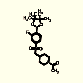 CC(=O)N1CCC(CS(=O)(=O)c2ccc(B3OC(C)(C)C(C)(C)O3)c(F)c2)CC1